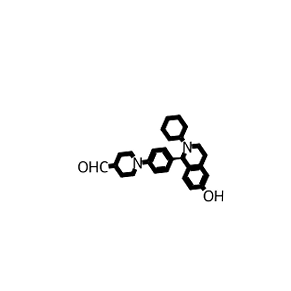 O=CC1CCN(c2ccc([C@@H]3c4ccc(O)cc4CCN3C3CCCCC3)cc2)CC1